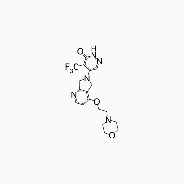 O=c1[nH]ncc(N2Cc3nccc(OCCN4CCOCC4)c3C2)c1C(F)(F)F